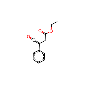 CCOC(=O)CC(=C=O)c1ccccc1